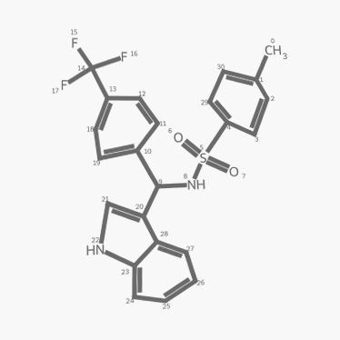 Cc1ccc(S(=O)(=O)NC(c2ccc(C(F)(F)F)cc2)c2c[nH]c3ccccc23)cc1